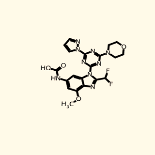 COc1cc(NC(=O)O)cc2c1nc(C(F)F)n2-c1nc(N2CCOCC2)nc(-n2cccn2)n1